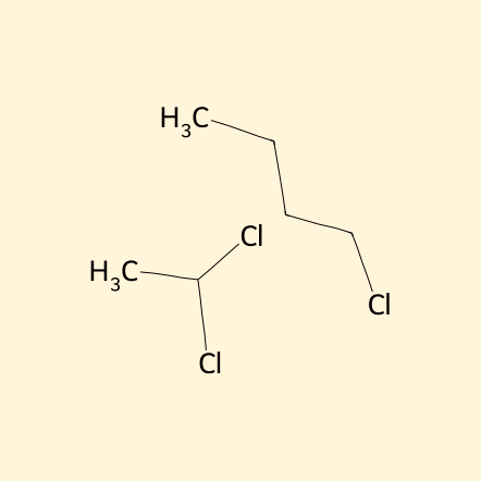 CC(Cl)Cl.CCCCCl